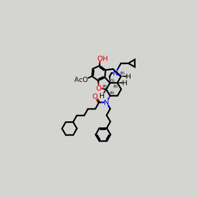 CC(=O)Oc1cc(O)c2c3c1O[C@H]1[C@H](N(CCCc4ccccc4)C(=O)CCCCC4CCCCC4)CC[C@H]4[C@@H](C2)N(CC2CC2)CC[C@@]341